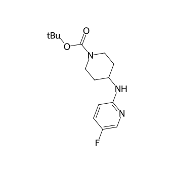 CC(C)(C)OC(=O)N1CCC(Nc2ccc(F)cn2)CC1